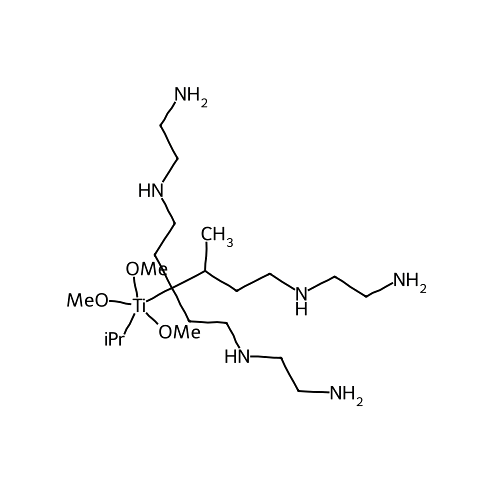 C[O][Ti]([O]C)([O]C)([CH](C)C)[C](CCNCCN)(CCNCCN)C(C)CCNCCN